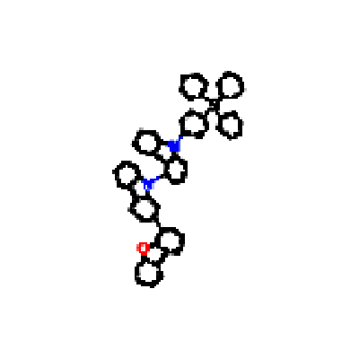 c1ccc([Si](c2ccccc2)(c2ccccc2)c2ccc(-n3c4ccccc4c4c(-n5c6ccccc6c6ccc(-c7cccc8c7oc7ccccc78)cc65)cccc43)cc2)cc1